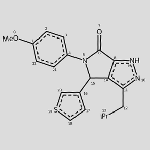 COc1ccc(N2C(=O)c3[nH]nc(CC(C)C)c3C2c2ccsc2)cc1